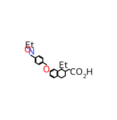 CCON=Cc1ccc(COc2ccc3c(c2)C(CC)C(CC(=O)O)CC3)cc1